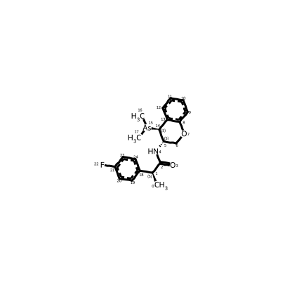 C[C@H](C(=O)N[C@H]1COc2ccccc2[C@@H]1[As](C)C)c1ccc(F)cc1